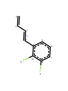 C=C/C=C/c1cccc(F)c1F